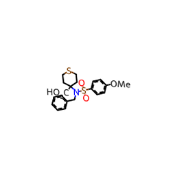 COc1ccc(S(=O)(=O)N(Cc2ccccc2)C2(C(=O)O)CCSCC2)cc1